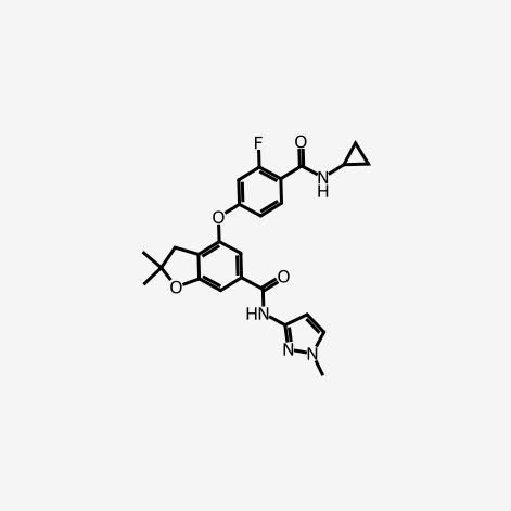 Cn1ccc(NC(=O)c2cc(Oc3ccc(C(=O)NC4CC4)c(F)c3)c3c(c2)OC(C)(C)C3)n1